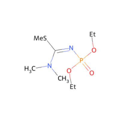 CCOP(=O)(N=C(SC)N(C)C)OCC